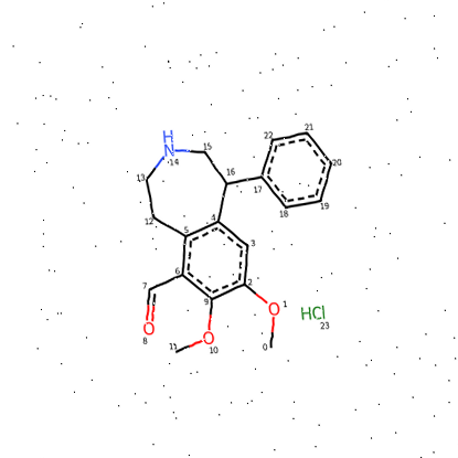 COc1cc2c(c(C=O)c1OC)CCNCC2c1ccccc1.Cl